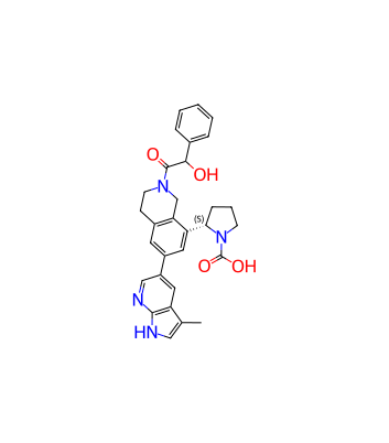 Cc1c[nH]c2ncc(-c3cc4c(c([C@@H]5CCCN5C(=O)O)c3)CN(C(=O)C(O)c3ccccc3)CC4)cc12